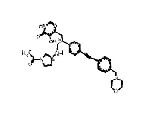 CC(=O)N1CC[C@H](NC[C@H](Cc2nc[nH]c(=O)c2O)c2ccc(C#Cc3ccc(CN4CCOCC4)cc3)cc2)C1